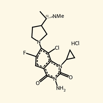 CN[C@@H](C)C1CCN(c2c(F)cc3c(=O)n(N)c(=O)n(C4CC4)c3c2Cl)C1.Cl